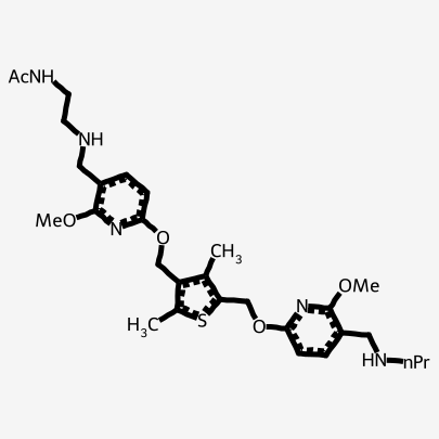 CCCNCc1ccc(OCc2sc(C)c(COc3ccc(CNCCNC(C)=O)c(OC)n3)c2C)nc1OC